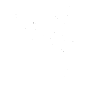 CCc1cccc(CNC[C@H](O)[C@H](Cc2cc(F)cc(F)c2)NC(=O)c2cccc(NS(=O)(=O)c3nccs3)c2)c1